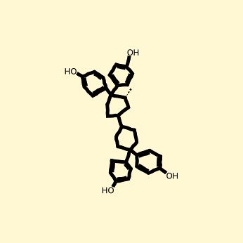 C[C@@H]1CC(C2CCC(c3ccc(O)cc3)(c3ccc(O)cc3)CC2)CCC1(c1ccc(O)cc1)c1ccc(O)cc1